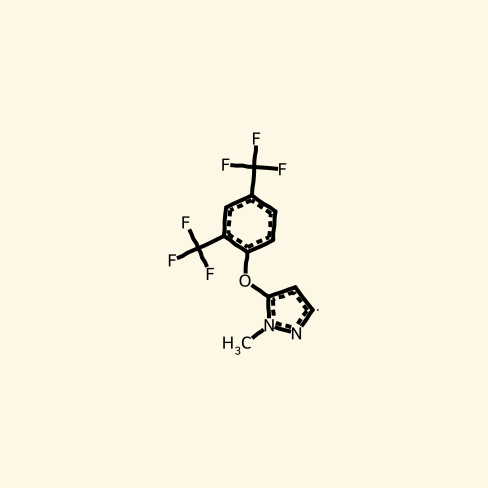 Cn1n[c]cc1Oc1ccc(C(F)(F)F)cc1C(F)(F)F